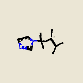 CC(C)[C@H](C)C(C)(C)n1ccnc1